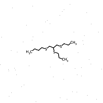 CCCCSCC(CSCCC)SCCC